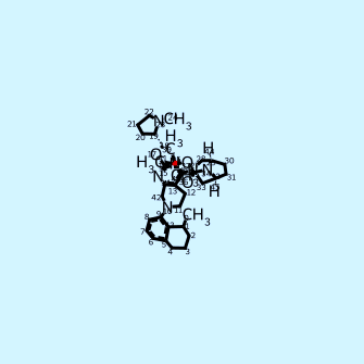 CC1CCCc2cccc(N3CCc4c(nc(OC[C@@H]5CCCN5C)nc4N4C[C@H]5CC[C@@H](C4)N5C(=O)OC(C)(C)C)C3)c21